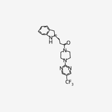 O=C(CC[C@@H]1Cc2ccccc2N1)N1CCN(c2ncc(C(F)(F)F)cn2)CC1